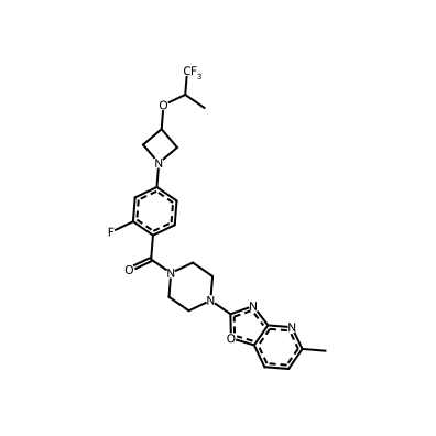 Cc1ccc2oc(N3CCN(C(=O)c4ccc(N5CC(OC(C)C(F)(F)F)C5)cc4F)CC3)nc2n1